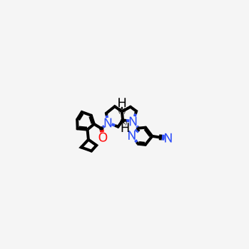 N#Cc1ccnc(N2CC[C@@H]3CCN(C(=O)c4ccccc4C4CCC4)C[C@@H]32)c1